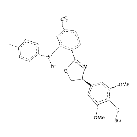 COc1cc([C@H]2COC(c3ccc(C(F)(F)F)cc3[S+]([O-])c3ccc(C)cc3)=N2)cc(OC)c1OC(C)(C)C